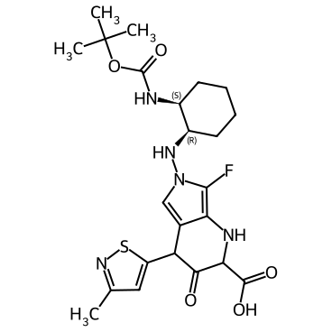 Cc1cc(C2C(=O)C(C(=O)O)Nc3c2cn(N[C@@H]2CCCC[C@@H]2NC(=O)OC(C)(C)C)c3F)sn1